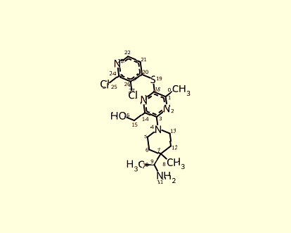 Cc1nc(N2CCC(C)([C@H](C)N)CC2)c(CO)nc1Sc1ccnc(Cl)c1Cl